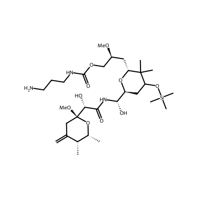 C=C1C[C@](OC)([C@H](O)C(=O)N[C@@H](O)[C@@H]2CC(O[Si](C)(C)C)C(C)(C)[C@@H](C[C@@H](COC(=O)NCCCN)OC)O2)O[C@H](C)[C@@H]1C